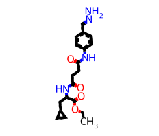 CCOC(=O)C(CC1CC1)NC(=O)CCC(=O)Nc1ccc(C=NN)cc1